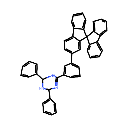 c1ccc(C2N=C(c3cccc(-c4ccc5c(c4)C4(c6ccccc6-c6ccccc64)c4ccccc4-5)c3)NC(c3ccccc3)N2)cc1